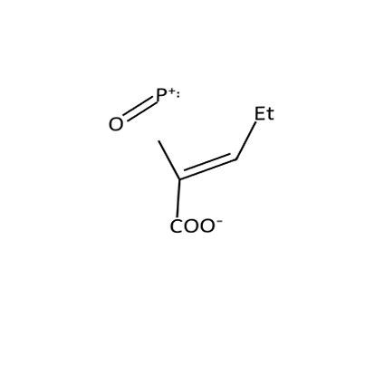 CCC=C(C)C(=O)[O-].O=[P+]